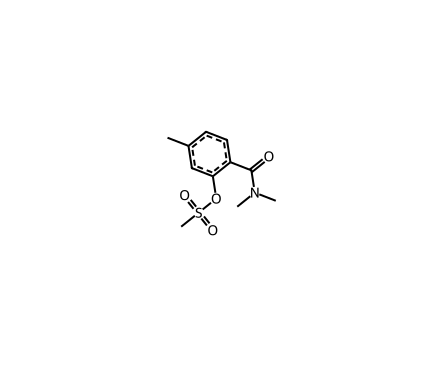 Cc1ccc(C(=O)N(C)C)c(OS(C)(=O)=O)c1